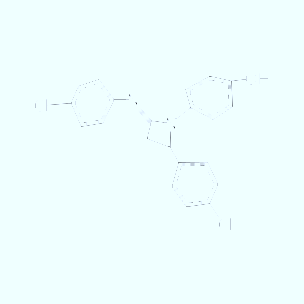 Oc1ccc(N2/C(=N/c3ccc(Cl)cc3)CC2c2ccc(Cl)cc2)cc1